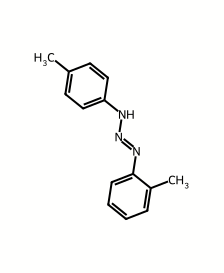 Cc1ccc(NN=Nc2ccccc2C)cc1